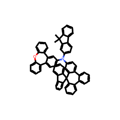 CC1(C)c2ccccc2-c2ccc(N(c3ccc4c(c3)-c3ccccc3Oc3ccccc3-4)c3ccc4c(c3)C3(c5ccccc5-c5ccccc5-4)c4ccccc4-c4ccccc43)cc21